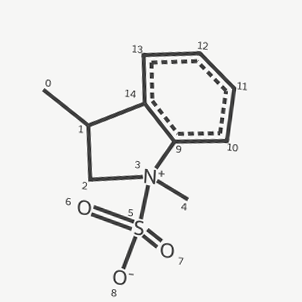 CC1C[N+](C)(S(=O)(=O)[O-])c2ccccc21